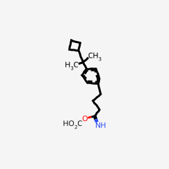 CC(C)(c1ccc(CCCC(=N)OC(=O)O)cc1)C1CCC1